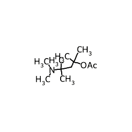 CC(=O)OC(C)(C)CC(C)(C)N(C)C